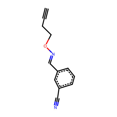 C#CCCON=[C]c1cccc(C#N)c1